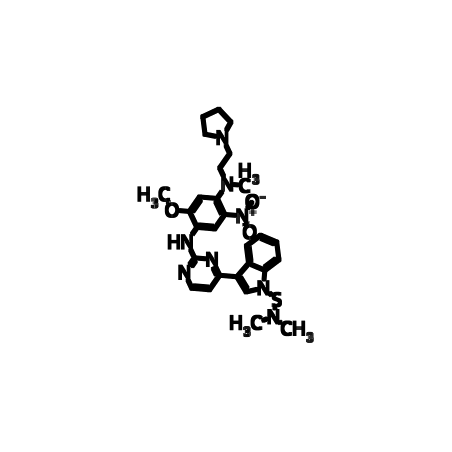 COc1cc(N(C)CCN2CCCC2)c([N+](=O)[O-])cc1Nc1nccc(-c2cn(SN(C)C)c3ccccc23)n1